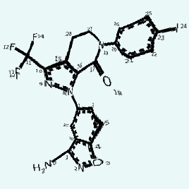 Nc1noc2ccc(-n3nc(C(F)(F)F)c4c3C(=O)N(c3ccc(I)cc3)CC4)cc12